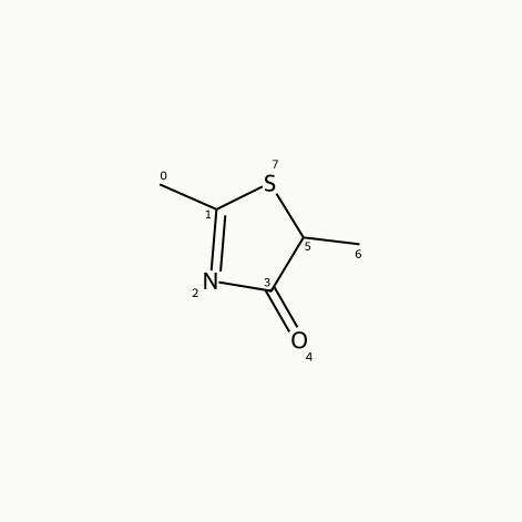 CC1=NC(=O)C(C)S1